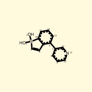 OS1(O)C=Cc2c(-c3cccnc3)cccc21